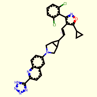 Clc1cccc(Cl)c1-c1noc(C2CC2)c1/C=C/C1C2CN(c3ccc4nc(-c5nnn[nH]5)ccc4c3)CC12